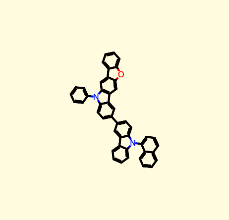 c1ccc(-n2c3ccc(-c4ccc5c(c4)c4ccccc4n5-c4cccc5ccccc45)cc3c3cc4oc5ccccc5c4cc32)cc1